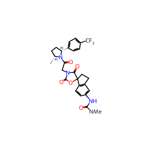 CNC(=O)Nc1ccc2c(c1)CCC21OC(=O)N(CC(=O)N2[C@H](C)CC[C@@H]2c2ccc(C(F)(F)F)cc2)C1=O